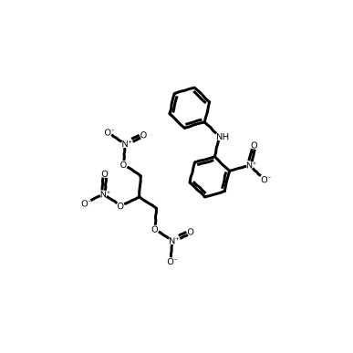 O=[N+]([O-])OCC(CO[N+](=O)[O-])O[N+](=O)[O-].O=[N+]([O-])c1ccccc1Nc1ccccc1